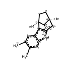 Cc1cc2[nH]c3c(c2cc1C)[C@H]1CC[C@@H](C3)[C@H]1C(=O)O